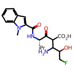 CC(C)[C@H](NC(=O)c1cc2ccccc2n1C)C(=O)C(C(=O)O)C(N)C(O)CF